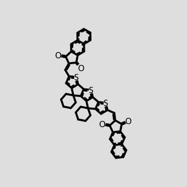 O=C1C(=Cc2cc3c(s2)-c2sc4c(c2C32CCCCC2)C2(CCCCC2)c2cc(C=C3C(=O)c5cc6ccccc6cc5C3=O)sc2-4)C(=O)c2cc3ccccc3cc21